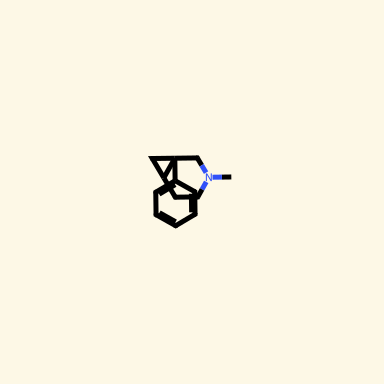 CN1CCC2CC2(c2ccccc2)C1